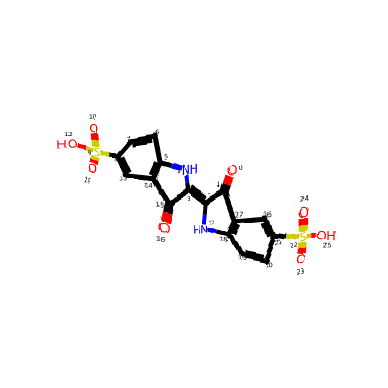 O=C1C(=C2Nc3ccc(S(=O)(=O)O)cc3C2=O)Nc2ccc(S(=O)(=O)O)cc21